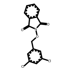 O=C1c2ccccc2C(=O)N1OCc1cc(Cl)cc(Cl)c1